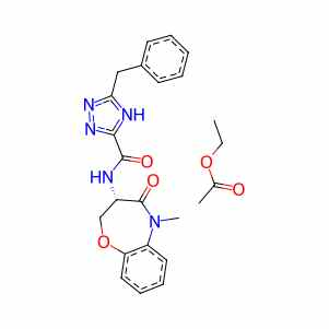 CCOC(C)=O.CN1C(=O)[C@@H](NC(=O)c2nnc(Cc3ccccc3)[nH]2)COc2ccccc21